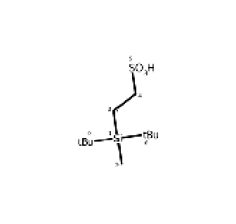 CC(C)(C)[Si](C)([CH]CS(=O)(=O)O)C(C)(C)C